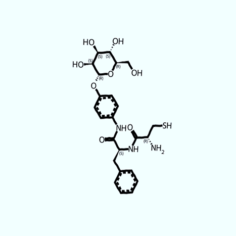 N[C@@H](CS)C(=O)N[C@@H](Cc1ccccc1)C(=O)Nc1ccc(O[C@H]2O[C@H](CO)[C@@H](O)[C@H](O)[C@@H]2O)cc1